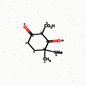 CSC1(C)CCC(=O)C(C(=O)O)C1=O